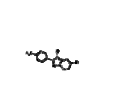 Cc1ccc(-c2nc3ccc(Br)cn3c2Br)cc1